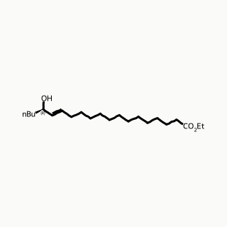 CCCC[C@@H](O)C=CCCCCCCCCCCCCC(=O)OCC